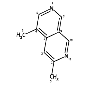 Cc1cc2c(C)cncc2cn1